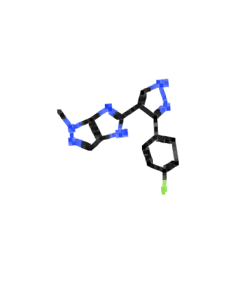 Cn1ncc2[nH]c(-c3c[nH]nc3-c3ccc(F)cc3)nc21